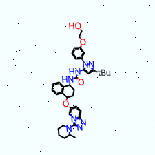 CC1CCCCN1c1nnc2ccc(O[C@@H]3CC[C@H](NC(=O)Nc4cc(C(C)(C)C)nn4-c4cccc(OCCO)c4)c4ccccc43)cn12